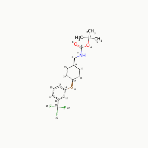 CC(C)(C)OC(=O)NC[C@H]1CC[C@@H](Sc2cccc(C(F)(F)F)c2)CC1